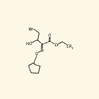 CCOC(=O)/C(=N/OC1CCCC1)C(O)CBr